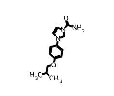 CC(C)COc1ccc(N2C=CN(C(N)=O)C2)cc1